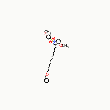 COc1ccc(S(=O)(=O)n2cc(C=CCCCCCCCCCCCCOCc3ccccc3)c3c(OC)cccc32)cc1